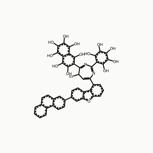 CCC1C=C(c2cccc3oc4cc(-c5ccc6c(ccc7ccccc76)c5)ccc4c23)N=C(c2c(O)c(O)c(O)c(O)c2O)N=C1c1c(O)c(O)c2c(O)c(O)c(O)c(O)c2c1O